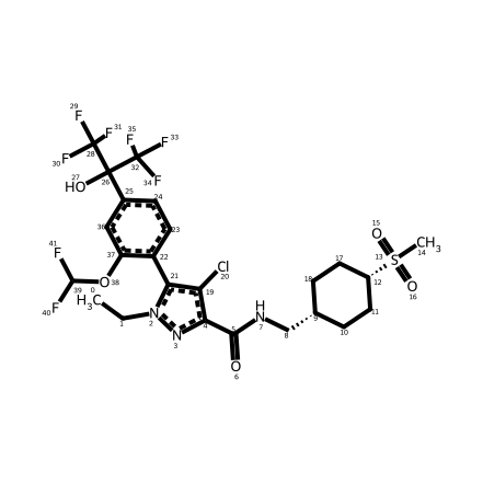 CCn1nc(C(=O)NC[C@H]2CC[C@@H](S(C)(=O)=O)CC2)c(Cl)c1-c1ccc(C(O)(C(F)(F)F)C(F)(F)F)cc1OC(F)F